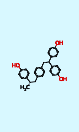 C[C@@H](Cc1ccc(CC(c2ccc(O)cc2)c2ccc(O)cc2)cc1)c1ccc(O)cc1